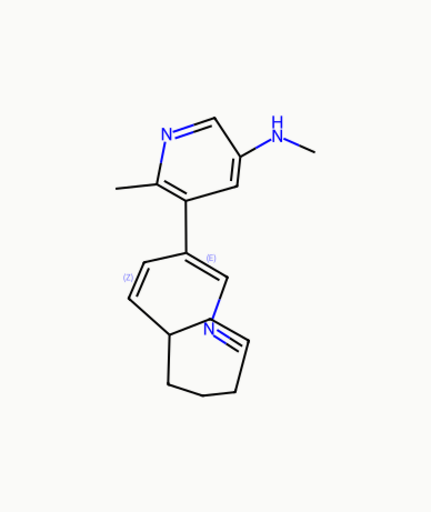 C=N/C=C(\C=C/C1CCCCC1)c1cc(NC)cnc1C